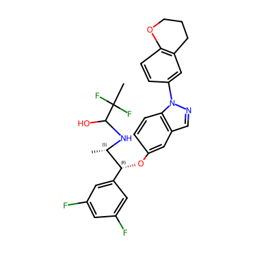 C[C@H](NC(O)C(C)(F)F)[C@H](Oc1ccc2c(cnn2-c2ccc3c(c2)CCCO3)c1)c1cc(F)cc(F)c1